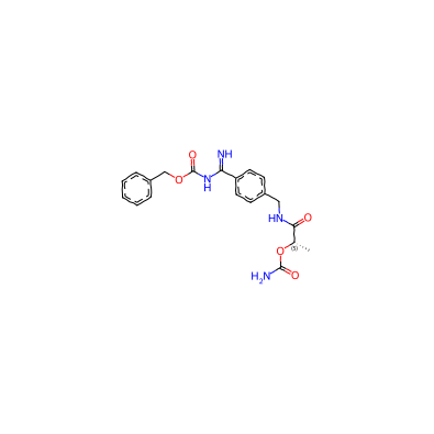 C[C@H](OC(N)=O)C(=O)NCc1ccc(C(=N)NC(=O)OCc2ccccc2)cc1